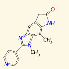 Cc1c2c(cc3nc(-c4ccncc4)n(C)c13)CC(=O)N2